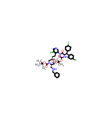 CC(C)(C)OC(=O)N[C@H](C(=O)Nc1cncc(F)c1CC[C@@H]1CN(C(=O)OC(C)(C)C)[C@H](CNCc2ccccc2)CO1)C(c1ccc(F)cc1)c1ccc(F)cc1